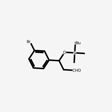 CC(C)(C)[Si](C)(C)OC(CC=O)c1cccc(Br)c1